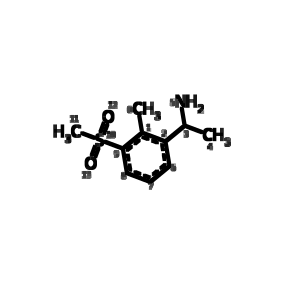 Cc1c(C(C)N)cccc1S(C)(=O)=O